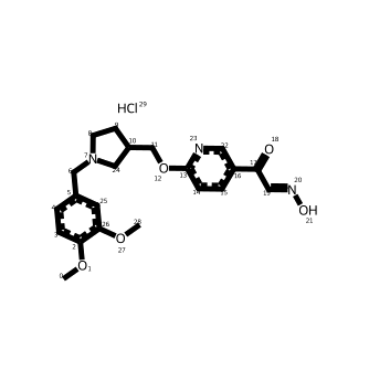 COc1ccc(CN2CCC(COc3ccc(C(=O)C=NO)cn3)C2)cc1OC.Cl